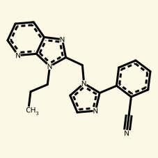 CCCn1c(Cn2ccnc2-c2ccccc2C#N)nc2cccnc21